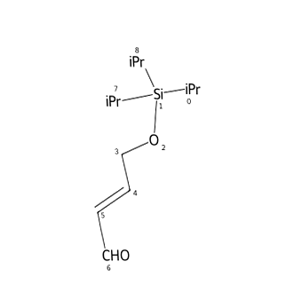 CC(C)[Si](OCC=CC=O)(C(C)C)C(C)C